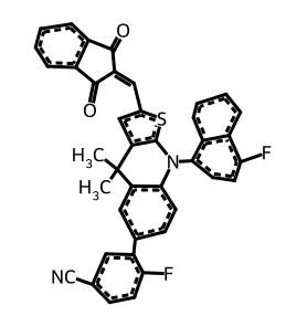 CC1(C)c2cc(-c3cc(C#N)ccc3F)ccc2N(c2ccc(F)c3ccccc23)c2sc(C=C3C(=O)c4ccccc4C3=O)cc21